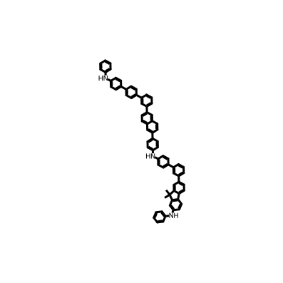 CC1(C)c2cc(Nc3ccccc3)ccc2-c2ccc(-c3cccc(-c4ccc(Nc5ccc(-c6ccc7cc(-c8cccc(-c9ccc(-c%10ccc(Nc%11ccccc%11)cc%10)cc9)c8)ccc7c6)cc5)cc4)c3)cc21